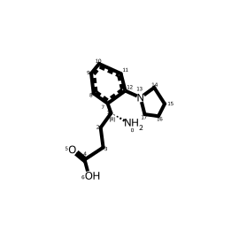 N[C@H](CCC(=O)O)c1ccccc1N1CCCC1